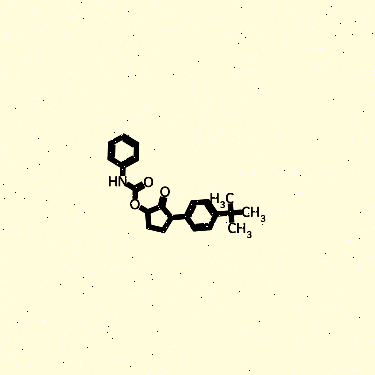 CC(C)(C)c1ccc(C2CCC(OC(=O)Nc3ccccc3)C2=O)cc1